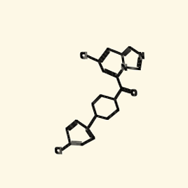 O=C(c1cc(Cl)cc2cncn12)C1CCC(c2ccc(Cl)cc2)CC1